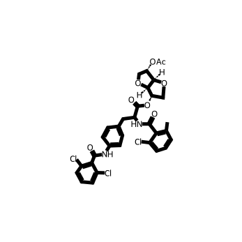 CC(=O)O[C@H]1CO[C@H]2[C@@H]1OC[C@@H]2OC(=O)C(Cc1ccc(NC(=O)c2c(Cl)cccc2Cl)cc1)NC(=O)c1c(C)cccc1Cl